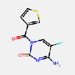 Nc1nc(=O)n(C(=O)c2ccsc2)cc1F